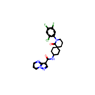 O=C(NC1CCC2(CCCN(c3cc(F)c(F)cc3Cl)C2=O)CC1)c1cnn2cccnc12